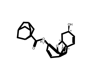 CN1CC[C@@]23C=C[C@H](O)C[C@@H]2Oc2c(OC(=O)C4CC5CC6CC5CC4C6)ccc(c23)C1